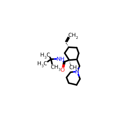 C=C[C@@H]1CCC(CN2CCCCC2)[C@@](C)(C(=O)NC(C)(C)C)C1